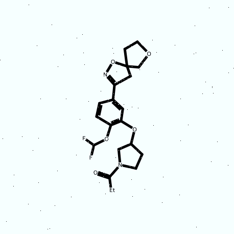 CCC(=O)N1CCC(Oc2cc(C3=NOC4(CCOC4)C3)ccc2OC(F)F)C1